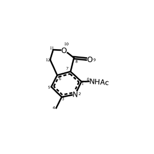 CC(=O)Nc1nc(C)cc2c1C(=O)OCC2